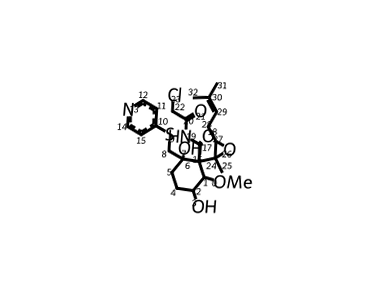 COC1C(O)CCC(O)(CSc2ccncc2)C1(C(=O)NC(=O)CCl)C1(C)OC1CC=C(C)C